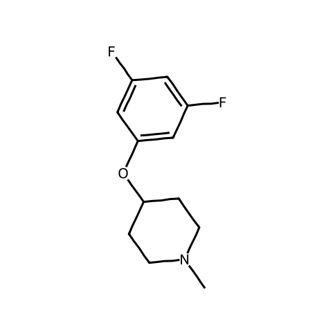 CN1CCC(Oc2cc(F)cc(F)c2)CC1